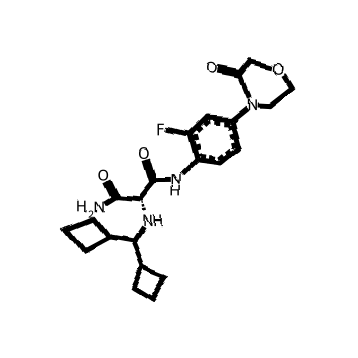 NC(=O)[C@@H](NC(C1CCC1)C1CCC1)C(=O)Nc1ccc(N2CCOCC2=O)cc1F